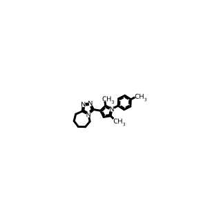 Cc1ccc(-n2c(C)cc(-c3nnc4n3CCCCC4)c2C)cc1